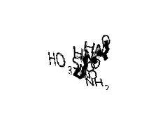 CC1CC(=O)N[C@@H]1C(=O)N[C@@H](CS(=O)(=O)O)C(=O)N1CCC[C@H]1C(N)=O